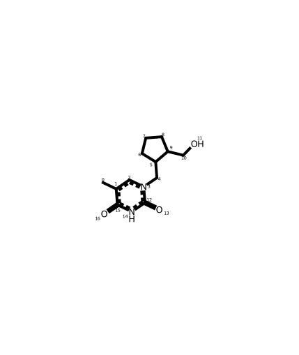 Cc1cn(CC2CCCC2CO)c(=O)[nH]c1=O